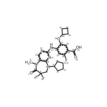 CN1C(=O)C(F)(F)CN(C2CCCC2)c2nc(Nc3cc(F)c(C(=O)O)cc3OC3CCC3)ncc21